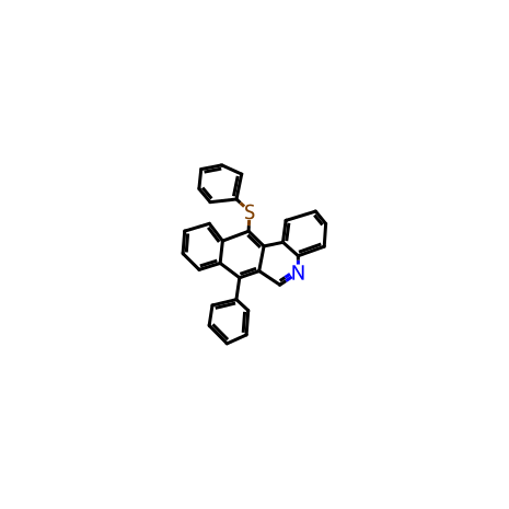 c1ccc(Sc2c3ccccc3c(-c3ccccc3)c3cnc4ccccc4c23)cc1